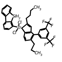 CCCCC1=Cc2c(ccc(CCC)c2-c2cc(C(F)(F)F)cc(C(F)(F)F)c2)[CH]1[Zr]([Cl])([Cl])[c]1cccc2c1[SiH2]c1ccccc1-2